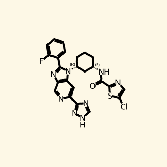 O=C(N[C@H]1CCC[C@@H](n2c(-c3ccccc3F)nc3cnc(-c4nc[nH]n4)cc32)C1)c1ncc(Cl)s1